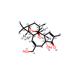 CC(=O)O[C@@]12C[C@@H](C)[C@H]3[C@@H](C=C(CO)C[C@]4(O)C(=O)C(C)=C[C@@H]34)[C@@H]1C2(C)C